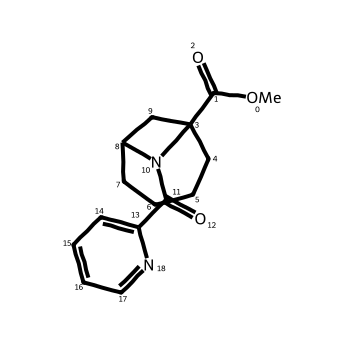 COC(=O)C12CCCCC(C1)N2C(=O)c1ccccn1